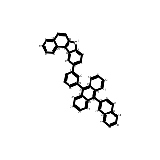 c1cc(-c2ccc3oc4ccc5ccccc5c4c3c2)cc(-c2c3ccccc3c(-c3ccc4ccccc4c3)c3ccccc23)c1